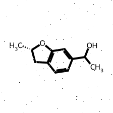 CC(O)c1ccc2c(c1)O[C@@H](C)C2